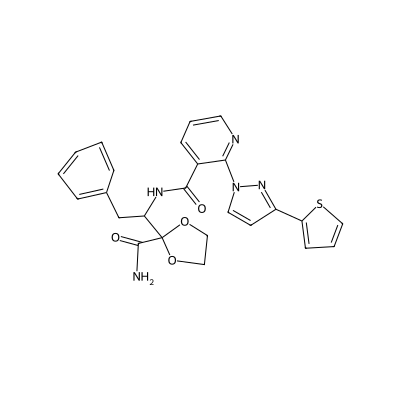 NC(=O)C1(C(Cc2ccccc2)NC(=O)c2cccnc2-n2ccc(-c3cccs3)n2)OCCO1